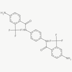 Nc1ccc(C(=O)Nc2ccc(NC(=O)c3ccc(N)cc3C(F)(F)F)cc2)c(C(F)(F)F)c1